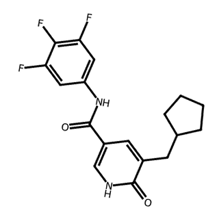 O=C(Nc1cc(F)c(F)c(F)c1)c1c[nH]c(=O)c(CC2CCCC2)c1